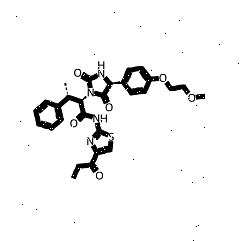 CCC(=O)c1csc(NC(=O)[C@H]([C@@H](C)c2ccccc2)N2C(=O)N[C@@H](c3ccc(OCCOC)cc3)C2=O)n1